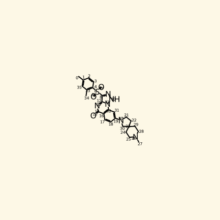 Cc1ccc(S(=O)(=O)c2n[nH]n3c2nc(=O)c2ccc(N4CCC5(CCN(C)CC5)C4)cc23)c(C)c1